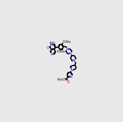 COC(=O)c1ccc(N2CCC(CN3CCC(N4CCN(Cc5c(OC)cc(-c6cn(C)c(=O)c7cnccc67)cc5OC)CC4)CC3)CC2)cn1